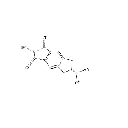 CCCN1C(=O)c2cc3c(cc2C1=O)CC(N(CCC)CCC)C3